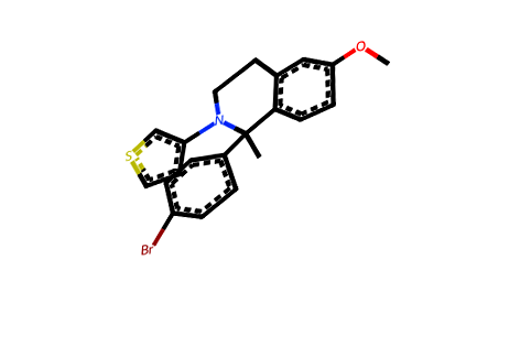 COc1ccc2c(c1)CCN(c1ccsc1)C2(C)c1ccc(Br)cc1